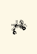 CC(C)OC(=O)[C@H](C)NP(=O)(OC[C@H]1O[C@@H](OCC(=O)c2cccnc2)[C@H](O)[C@@H]1O)Oc1ccccc1